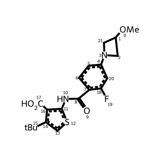 COC1CN(c2ccc(C(=O)Nc3scc(C(C)(C)C)c3C(=O)O)c(F)c2)C1